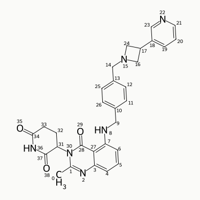 Cc1nc2cccc(NCc3ccc(CN4CC(c5cccnc5)C4)cc3)c2c(=O)n1C1CCC(=O)NC1=O